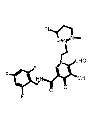 CCC1CCN(C)N(CCn2cc(C(=O)NCc3c(F)cc(F)cc3F)c(=O)c(O)c2C=O)O1